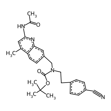 CC(=O)Nc1cc(C)c2ccc(CN(CCc3ccc(C#N)cc3)C(=O)OC(C)(C)C)cc2n1